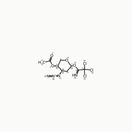 CC(=O)O[C@H]1CO[C@@H](OC(=N)C(Cl)(Cl)Cl)C[C@H]1N=[N+]=[N-]